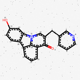 O=c1c(Cc2cccnc2)cn2c3cc(O)ccc3c3cccc1c32